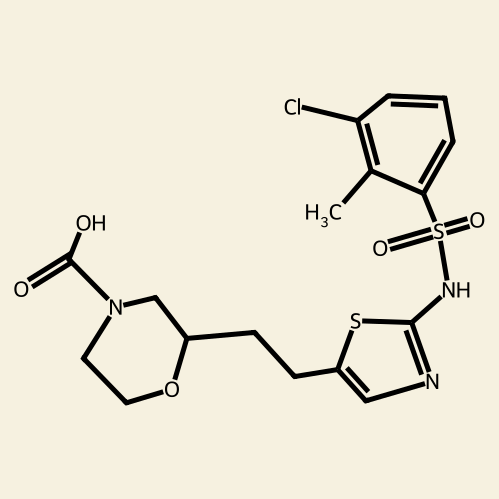 Cc1c(Cl)cccc1S(=O)(=O)Nc1ncc(CCC2CN(C(=O)O)CCO2)s1